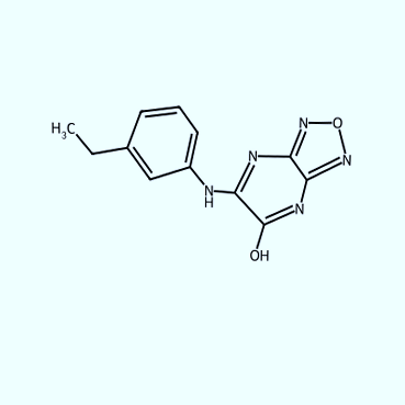 CCc1cccc(Nc2nc3nonc3nc2O)c1